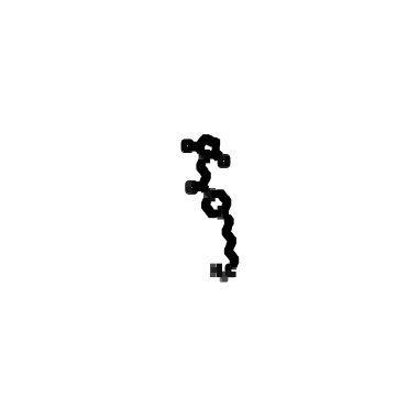 CCCCCCN1CCN(C(=O)CCN2C(=O)C=CC2=O)CC1